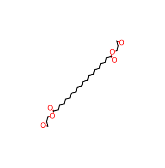 O=C(CCCCCCCCCCCCCCCCCCC(=O)OCC1CO1)OCC1CO1